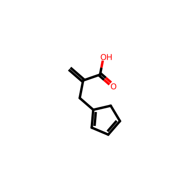 C=C(CC1=CC=CC1)C(=O)O